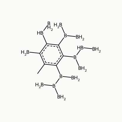 BBB(B)c1c(B(B)B(B)B)c(C)c(B)c(BB)c1B(B)B